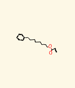 C=CC(=O)OCCCCCCCCc1ccccc1